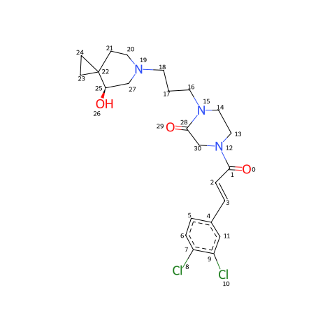 O=C(/C=C/c1ccc(Cl)c(Cl)c1)N1CCN(CCCN2CCC3(CC3)[C@H](O)C2)C(=O)C1